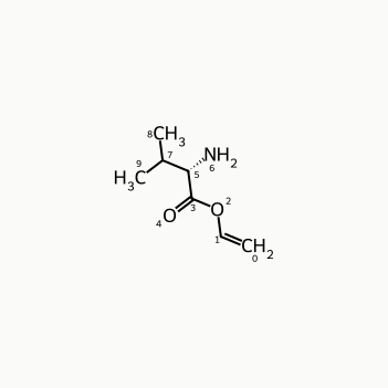 C=COC(=O)[C@@H](N)C(C)C